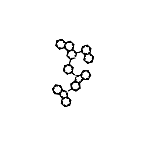 c1cc(-c2nc(-c3cccc4ccccc34)c3ccc4ccccc4c3n2)cc(-n2c3ccccc3c3ccc(-n4c5ccccc5c5ccccc54)cc32)c1